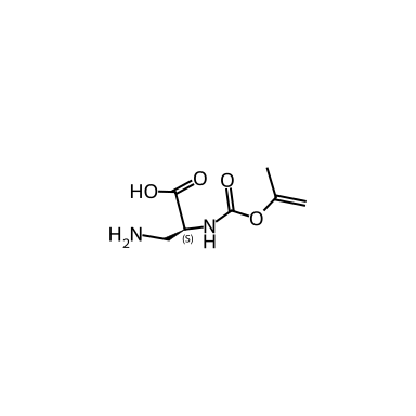 C=C(C)OC(=O)N[C@@H](CN)C(=O)O